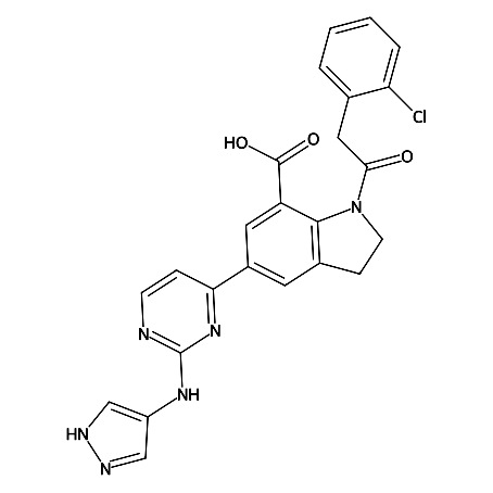 O=C(O)c1cc(-c2ccnc(Nc3cn[nH]c3)n2)cc2c1N(C(=O)Cc1ccccc1Cl)CC2